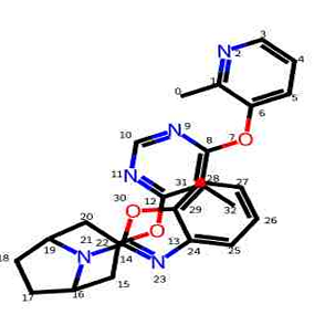 Cc1ncccc1Oc1ncnc(OC2CC3CCC(C2)N3c2nc3ccccc3o2)c1C